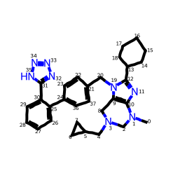 CN1CN(CC2CC2)Cc2c1nc(C1CCCCC1)n2Cc1ccc(-c2ccccc2-c2nnn[nH]2)cc1